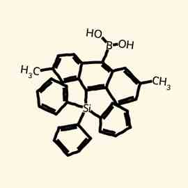 Cc1ccc2c([Si](c3ccccc3)(c3ccccc3)c3ccccc3)c3cc(C)ccc3c(B(O)O)c2c1